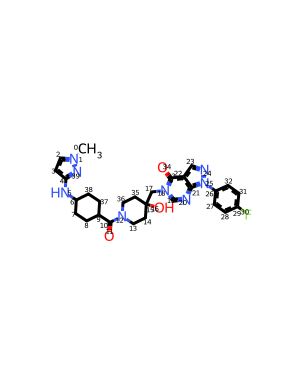 Cn1ccc(NC2CCC(C(=O)N3CCC(O)(Cn4cnc5c(cnn5-c5ccc(F)cc5)c4=O)CC3)CC2)n1